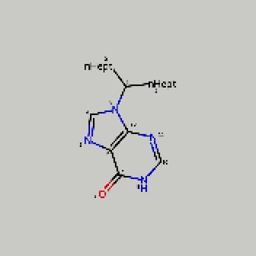 CCCCCCCC(CCCCCCC)n1cnc2c(=O)[nH]cnc21